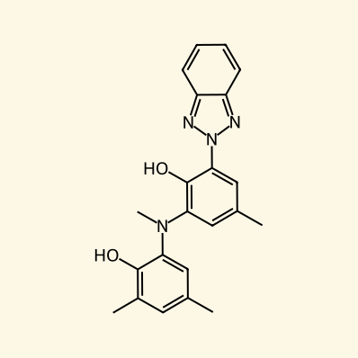 Cc1cc(C)c(O)c(N(C)c2cc(C)cc(-n3nc4ccccc4n3)c2O)c1